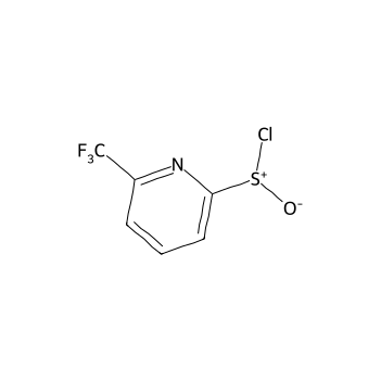 [O-][S+](Cl)c1cccc(C(F)(F)F)n1